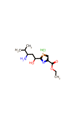 CCOC(=O)c1csc(C(O)CC(N)C(C)C)n1.Cl